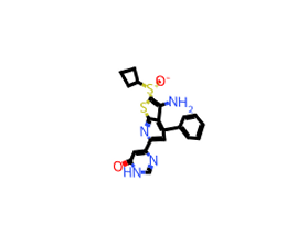 Nc1c([S+]([O-])C2CCC2)sc2nc(-c3cc(=O)[nH]cn3)cc(-c3ccccc3)c12